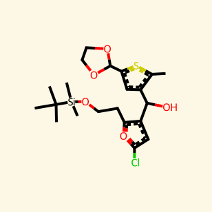 Cc1sc(C2OCCO2)cc1C(O)c1cc(Cl)oc1CCO[Si](C)(C)C(C)(C)C